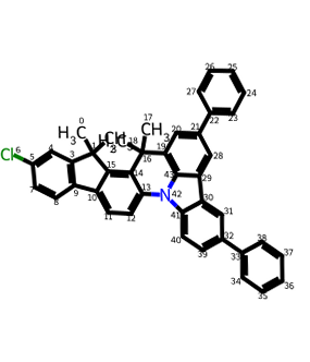 CC1(C)c2cc(Cl)ccc2-c2ccc3c(c21)C(C)(C)c1cc(-c2ccccc2)cc2c4cc(-c5ccccc5)ccc4n-3c12